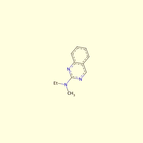 CCN(C)c1ncc2ccccc2n1